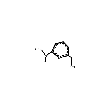 CN(C=O)c1cccc(CO)n1